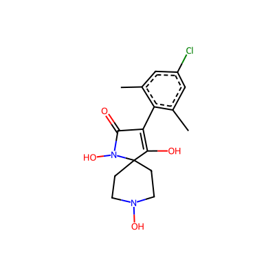 Cc1cc(Cl)cc(C)c1C1=C(O)C2(CCN(O)CC2)N(O)C1=O